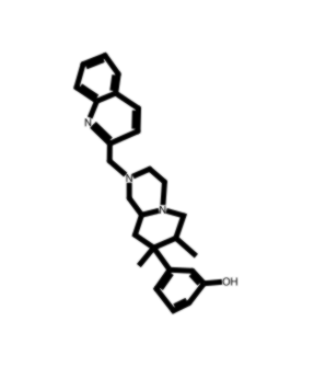 CC1CN2CCN(Cc3ccc4ccccc4n3)CC2CC1(C)c1cccc(O)c1